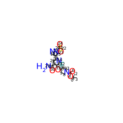 CC(C)(C)OC(=O)N1CC[C@@H](Oc2cnc(-c3cnn(CS(C)(=O)=O)c3)cc2C(N)=O)[C@@H](F)C1